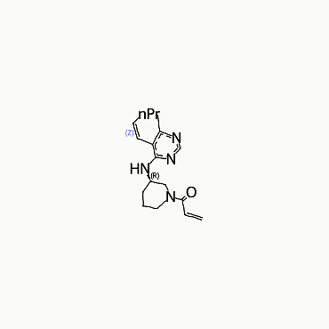 C=CC(=O)N1CCC[C@@H](Nc2ncnc(C)c2/C=C\CCC)C1